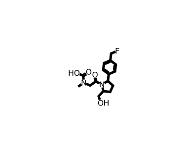 CN(CC(=O)N1C(CO)CCC1c1ccc(CF)cc1)C(=O)O